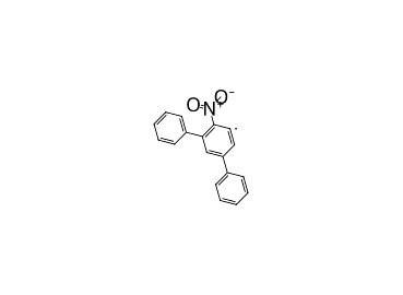 O=[N+]([O-])c1[c]cc(-c2ccccc2)cc1-c1ccccc1